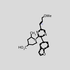 COC/C=C/c1cnc(-c2ccc3occc3c2)c(N2CCC(C(=O)O)CC2C)n1